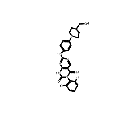 N=c1c2cnc(Nc3ccc(N4CCC(CO)CC4)cc3)nc2[nH]c(=O)n1-c1c(Cl)cccc1Cl